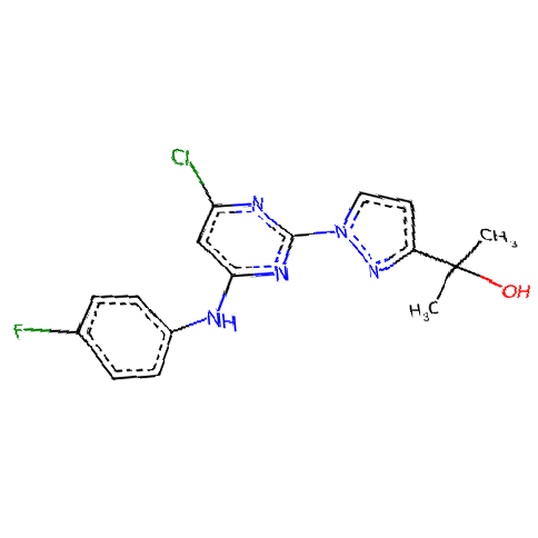 CC(C)(O)c1ccn(-c2nc(Cl)cc(Nc3ccc(F)cc3)n2)n1